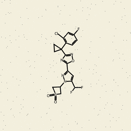 O=S1(=O)CC(n2nc(-c3nc(C4(c5ccc(F)cc5Cl)CC4)no3)cc2C(F)F)C1